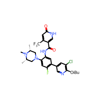 CC(C)COc1ncc(-c2cc(NC(=O)c3c[nH]c(=O)cc3C(F)(F)F)c(N3C[C@@H](C)N(C)[C@@H](C)C3)cc2F)cc1Cl